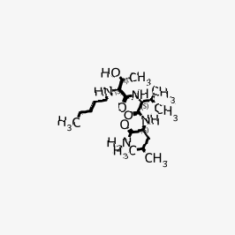 CCCCCN[C@H](C(=O)N[C@H](C(=O)N[C@@H](CC(C)C)C(N)=O)C(C)C)[C@@H](C)O